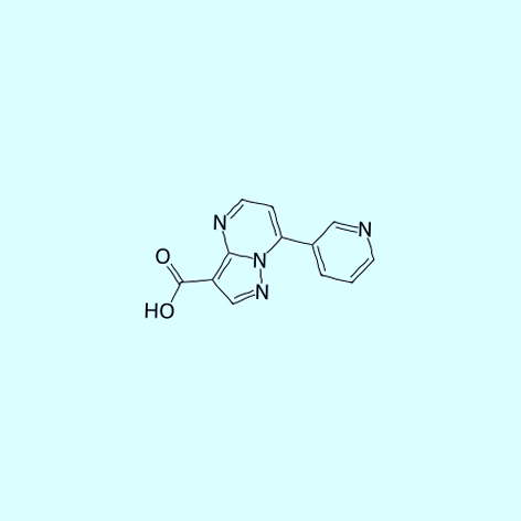 O=C(O)c1cnn2c(-c3cccnc3)ccnc12